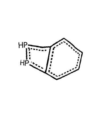 c1ccc2[pH][pH]c2c1